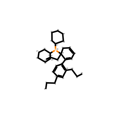 CCCc1ccc(C2=CC=CCC2(CCC)P(C2CCCCC2)C2CCCCC2)c(CCC)c1